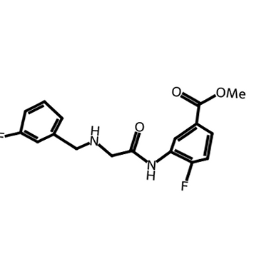 COC(=O)c1ccc(F)c(NC(=O)CNCc2cccc(F)c2)c1